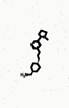 CN1CCCC1c1cncc(CCC[C@H]2CC[C@H](CN)CC2)c1